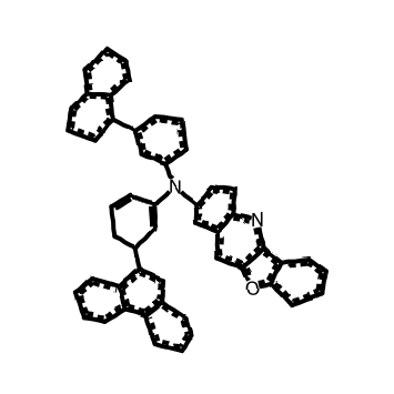 C1=CC(N(c2cccc(-c3cccc4ccccc34)c2)c2ccc3nc4c(cc3c2)oc2ccccc24)=CC(c2cc3ccccc3c3ccccc23)C1